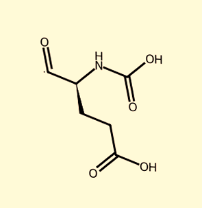 O=[C][C@H](CCC(=O)O)NC(=O)O